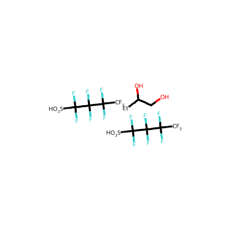 CCC(O)CO.O=S(=O)(O)C(F)(F)C(F)(F)C(F)(F)C(F)(F)F.O=S(=O)(O)C(F)(F)C(F)(F)C(F)(F)C(F)(F)F